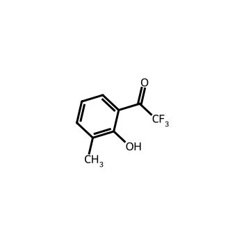 Cc1cccc(C(=O)C(F)(F)F)c1O